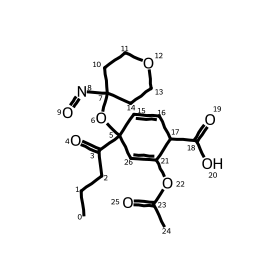 CCCC(=O)C1(OC2(N=O)CCOCC2)C=CC(C(=O)O)C(OC(C)=O)=C1